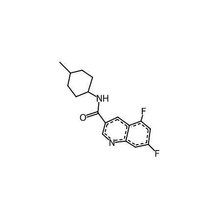 CC1CCC(NC(=O)c2cnc3cc(F)cc(F)c3c2)CC1